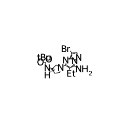 CCc1c(N2CC[C@H](NC(=O)OC(C)(C)C)C2)nc2c(Br)cnn2c1N